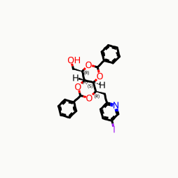 OC[C@H]1OC(c2ccccc2)O[C@@H]2[C@@H]1OC(c1ccccc1)O[C@@H]2Cc1ccc(I)cn1